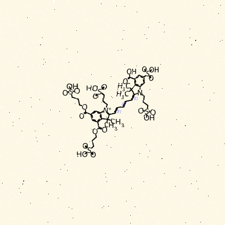 CC1(C)C(/C=C/C=C/C=C2/N(CCCS(=O)(=O)O)c3cc(S(=O)(=O)O)cc(C(=O)O)c3C2(C)C)=[N+](CCCS(=O)(=O)O)c2cc(C(=O)OCCCS(=O)(=O)O)cc(C(=O)OCCCS(=O)(=O)O)c21